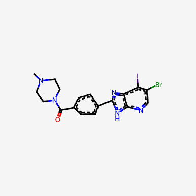 CN1CCN(C(=O)c2ccc(-c3nc4c(I)c(Br)cnc4[nH]3)cc2)CC1